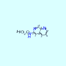 O=C(O)Nc1cc2cccnc2cn1